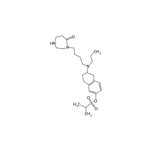 CCCN(CCCCN1CCNCCC1=O)C1CCc2cc(OS(=O)(=O)C(C)C)ccc2C1